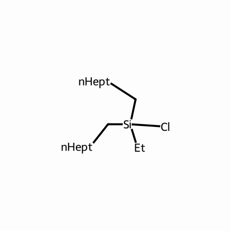 CCCCCCCC[Si](Cl)(CC)CCCCCCCC